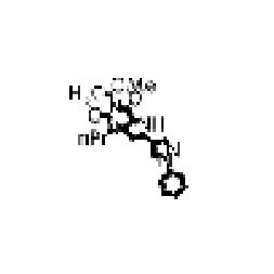 CCCn1c(=O)n(C(C)OC)c(=O)c2[nH]c(-c3cnn(-c4ccccc4)c3)cc21